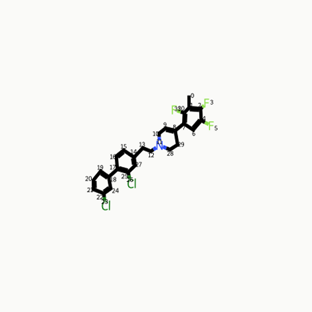 Cc1c(F)c(F)cc(C2=CCN(CCc3ccc(-c4cccc(Cl)c4)c(Cl)c3)CC2)c1F